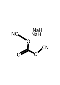 N#COC(=O)OC#N.[NaH].[NaH]